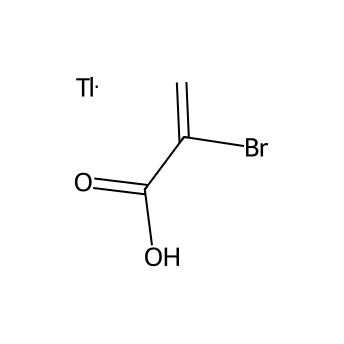 C=C(Br)C(=O)O.[Tl]